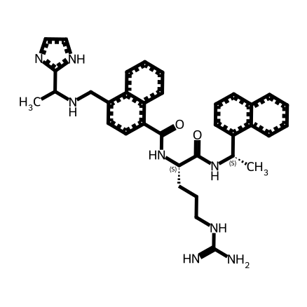 CC(NCc1ccc(C(=O)N[C@@H](CCCNC(=N)N)C(=O)N[C@@H](C)c2cccc3ccccc23)c2ccccc12)c1ncc[nH]1